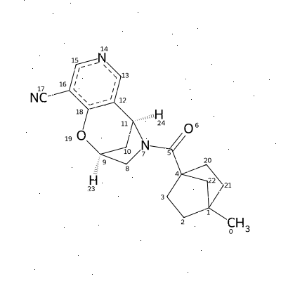 CC12CCC(C(=O)N3C[C@@H]4C[C@H]3c3cncc(C#N)c3O4)(CC1)C2